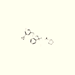 O=C(OC[C@](O)(C(=O)NCc1cncc(C2CC2)c1)c1ccccc1)N1CCCC1